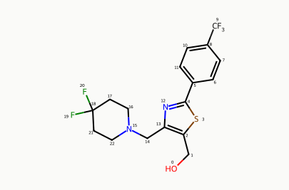 OCc1sc(-c2ccc(C(F)(F)F)cc2)nc1CN1CCC(F)(F)CC1